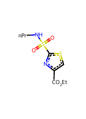 CCCNS(=O)(=O)c1nc(C(=O)OCC)cs1